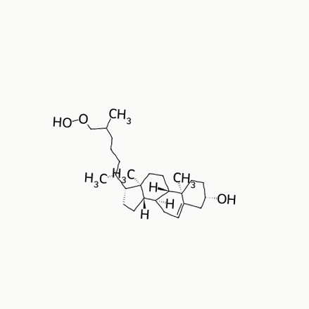 CC(CCC[C@@H](C)[C@H]1CC[C@H]2[C@@H]3CC=C4C[C@@H](O)CC[C@]4(C)[C@H]3CC[C@]12C)COO